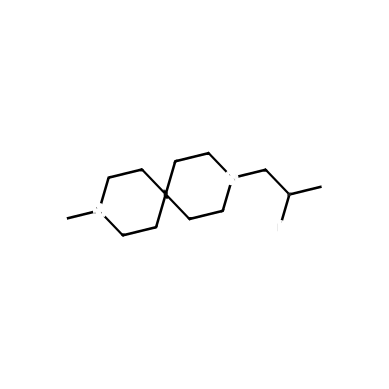 CC(F)CN1CCC2(CCN(C)CC2)CC1